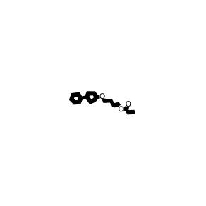 C=CC(=O)O/C=C/CCOc1ccc(-c2ccccc2)cc1